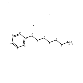 N[CH]CCCCOc1ccccc1